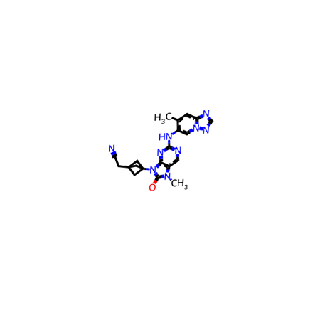 Cc1cc2ncnn2cc1Nc1ncc2c(n1)n(C13CC(CC#N)(C1)C3)c(=O)n2C